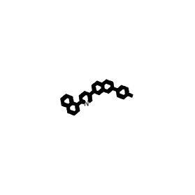 Cc1ccc(-c2ccc3ccc(-c4ccc(-c5cccc6ccccc56)nc4)cc3c2)cc1